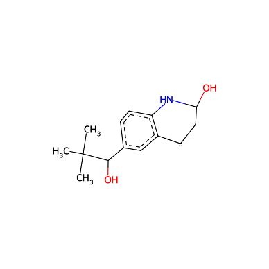 CC(C)(C)C(O)c1ccc2c(c1)[C]CC(O)N2